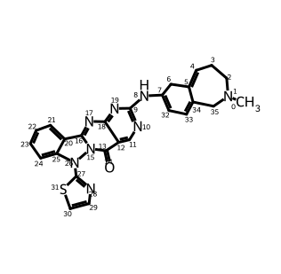 CN1CCC=C2CC(Nc3ncc4c(=O)n5c(nc4n3)c3ccccc3n5-c3nccs3)=CC=C2C1